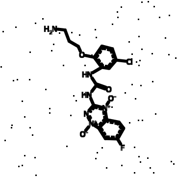 NCCCOc1ccc(Cl)cc1NC(=O)Nc1n[n+]([O-])c2cc(F)ccc2[n+]1[O-]